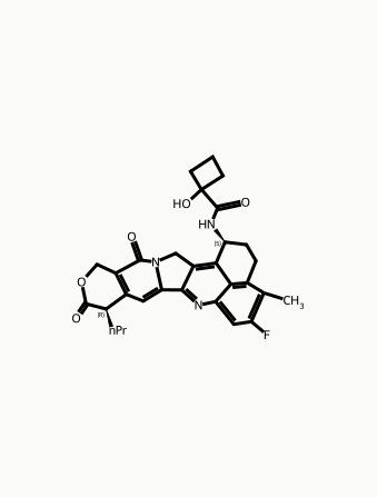 CCC[C@H]1C(=O)OCc2c1cc1n(c2=O)Cc2c-1nc1cc(F)c(C)c3c1c2[C@@H](NC(=O)C1(O)CCC1)CC3